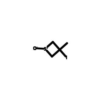 CC1(I)C[S+]([O-])C1